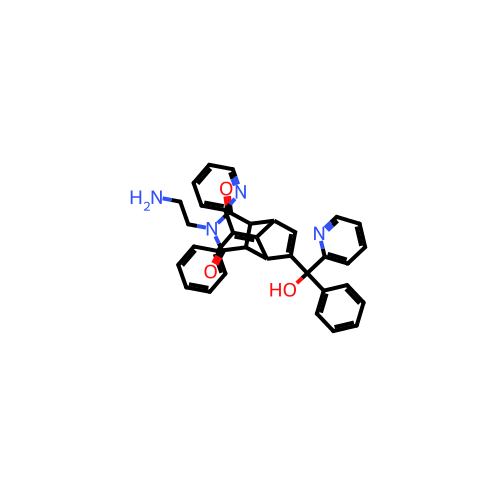 NCCN1C(=O)C2C3C=C(C(O)(c4ccccc4)c4ccccn4)C(C3=C(c3ccccc3)c3ccccn3)C2C1=O